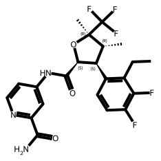 CCc1c([C@H]2[C@@H](C(=O)Nc3ccnc(C(N)=O)c3)O[C@@](C)(C(F)(F)F)[C@@H]2C)ccc(F)c1F